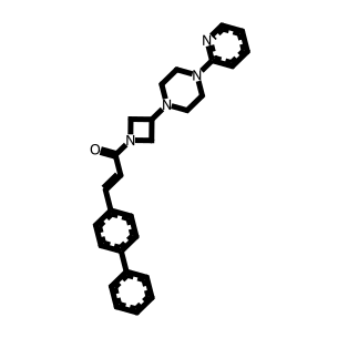 O=C(/C=C/c1ccc(-c2ccccc2)cc1)N1CC(N2CCN(c3ccccn3)CC2)C1